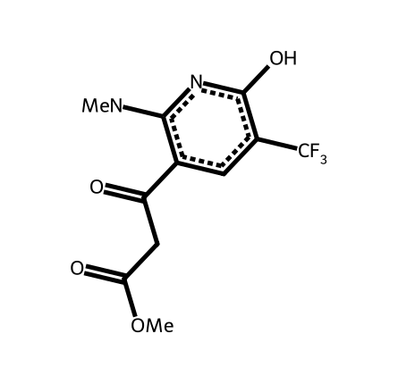 CNc1nc(O)c(C(F)(F)F)cc1C(=O)CC(=O)OC